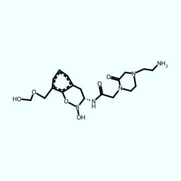 NCCN1CCN(CC(=O)N[C@H]2Cc3cccc(COCO)c3OB2O)C(=O)C1